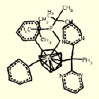 CC(C)(C)P(C[C]12[C]3(c4ccccc4)[C]4(c5ccccc5)[CH]5[C]1(C(P)(c1ncccn1)c1ncccn1)[Fe]54231678[CH]2[CH]1[CH]6[CH]7[CH]28)C(C)(C)C